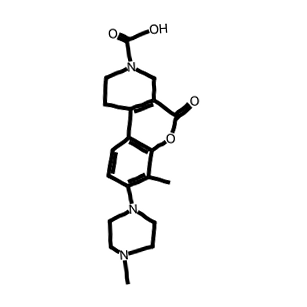 Cc1c(N2CCN(C)CC2)ccc2c3c(c(=O)oc12)CN(C(=O)O)CC3